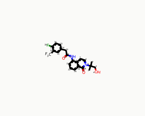 CC(C)(CO)n1ccc2c(NC(=O)Cc3ccc(F)c(C(F)(F)F)c3)cccc2c1=O